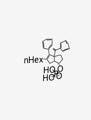 C=C(c1ccccc1)C12CCC(OP(=O)(O)O)C1CC(CCCCCC)=C2c1ccccc1